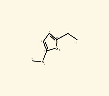 CCc1ccc(SC)s1